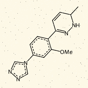 COc1cc(-n2cnnc2)ccc1C1=NNC(C)C=C1